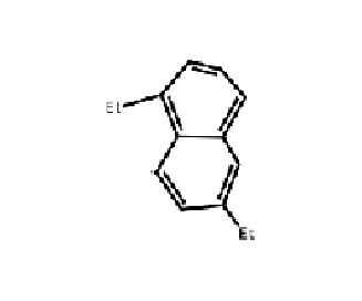 CCc1c[c]c2c(CC)cccc2c1